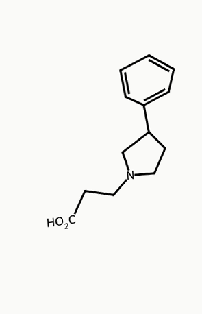 O=C(O)CCN1CCC(c2ccccc2)C1